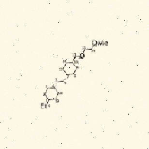 CC[C@H]1CC[C@H](CC[C@H]2CC[C@H](COCCOC)CC2)CC1